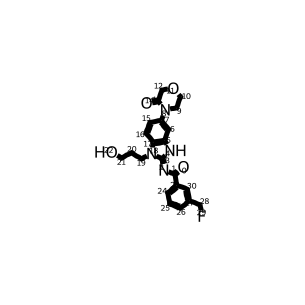 O=C(/N=c1\[nH]c2cc(N3CCOCC3=O)ccc2n1CCCO)c1cccc(CF)c1